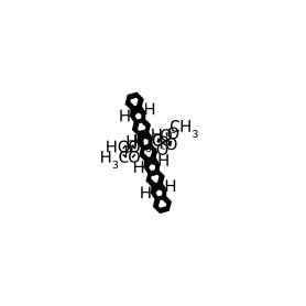 COOP(C)(=O)Oc1c2c(c(OP(C)(=O)O)c3c1[C@H]1C[C@@H]3c3cc4c(cc31)[C@H]1C[C@@H]4c3ccccc31)[C@H]1C[C@@H]2c2cc3c(cc21)[C@H]1C[C@@H]3c2ccccc21